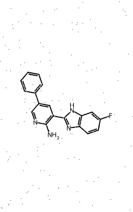 Nc1ncc(-c2ccccc2)cc1-c1nc2ccc(F)cc2[nH]1